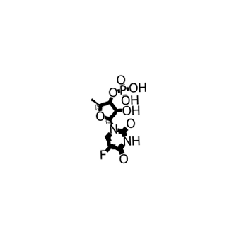 C[C@@H]1O[C@H](n2cc(F)c(=O)[nH]c2=O)C(O)C1OP(=O)(O)O